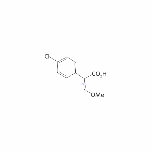 CO/C=C(\C(=O)O)c1ccc(Cl)cc1